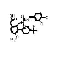 CCN(Cc1c(CC(=O)O)ccc(OC)c1-c1ccc(C(F)(F)F)cc1)C(=O)NCc1ccc(Cl)c(Cl)c1